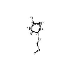 CCCCc1cnc(C)nc1